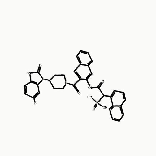 O=C(Nc1cc2ccccc2cc1C(=O)N1CCC(n2c(=O)[nH]c3ccc(Cl)cc32)CC1)C(c1cccc2ccccc12)P(=O)(O)O